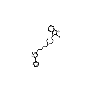 O=c1[nH]c2ccccc2n1C1CCN(CCCCc2cc(-c3cccs3)no2)CC1